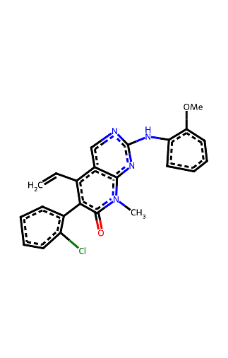 C=Cc1c(-c2ccccc2Cl)c(=O)n(C)c2nc(Nc3ccccc3OC)ncc12